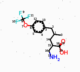 CC(Cc1ccc(OC(F)(F)F)cc1)CC(CN)C(=O)O